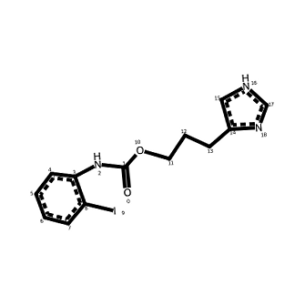 O=C(Nc1ccccc1I)OCCCc1c[nH]cn1